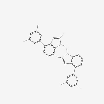 CC1=Cc2c(-c3cc(C)cc(C)c3)cccc2[CH]1[Zr][CH]1C(C)=Cc2c(-c3cc(C)cc(C)c3)cccc21